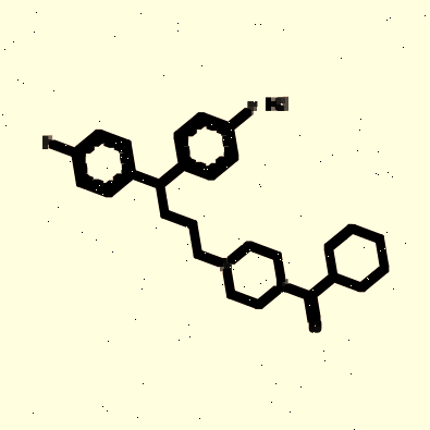 Cl.O=C(C1CCCCC1)N1CCN(CCCC(c2ccc(F)cc2)c2ccc(F)cc2)CC1